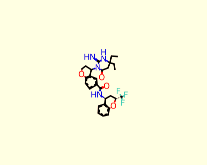 CCC1(CC)CC(=O)N(C2CCOc3ccc(C(=O)N[C@H]4C[C@H](C(F)(F)F)Oc5ccccc54)cc32)C(=N)N1